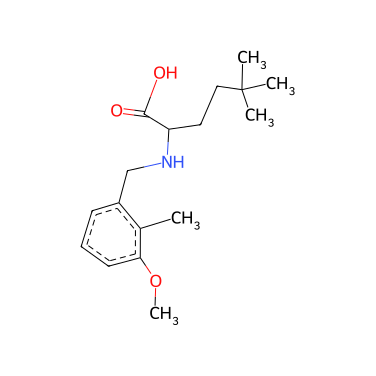 COc1cccc(CNC(CCC(C)(C)C)C(=O)O)c1C